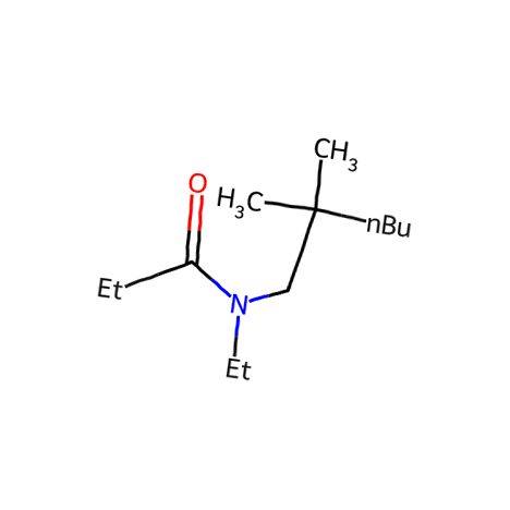 CCCCC(C)(C)CN(CC)C(=O)CC